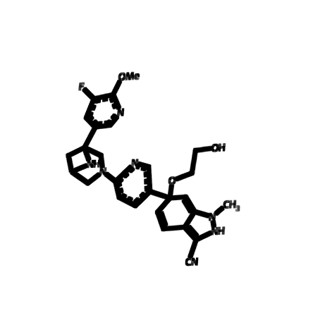 COc1ncc(C23CC(CN(c4ccc(C5(OCCO)C=CC6=C(C#N)NN(C)C6=C5)cn4)C2)N3)cc1F